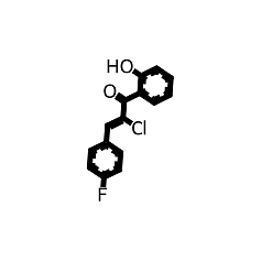 O=C(C(Cl)=Cc1ccc(F)cc1)c1ccccc1O